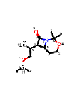 C[SiH](C)OCC(C1C(=O)N2C1CCOC2(C)C)C(C)(C)C